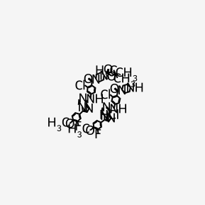 COc1ccc(-c2cnc3c(Nc4ccc(C(=O)N5CCN(C(=O)OC(C)(C)C)CC5)c(Cl)c4)nccn23)cc1F.COc1ccc(-c2cnc3c(Nc4ccc(C(=O)N5CCNCC5)c(Cl)c4)nccn23)cc1F.Cl